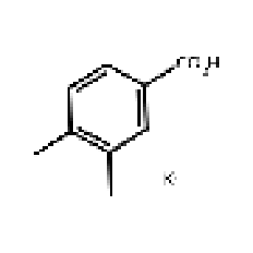 Cc1ccc(C(=O)O)cc1C.[K]